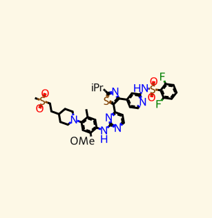 COc1cc(N2CCC(CCS(C)(=O)=O)CC2)c(C)cc1Nc1nccc(-c2sc(C(C)C)nc2-c2ccnc(NS(=O)(=O)c3c(F)cccc3F)c2)n1